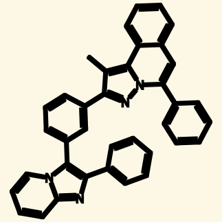 Cc1c(-c2cccc(-c3c(-c4ccccc4)nc4ccccn34)c2)nn2c(-c3ccccc3)cc3ccccc3c12